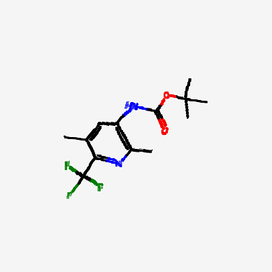 Cc1cc(NC(=O)OC(C)(C)C)c(C)nc1C(F)(F)F